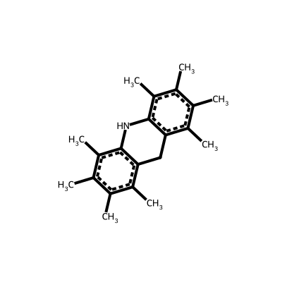 Cc1c(C)c(C)c2c(c1C)Cc1c(C)c(C)c(C)c(C)c1N2